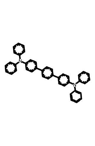 C1=C=CC(N(c2ccccc2)c2ccc(-c3ccc(-c4ccc(N(c5ccccc5)c5ccccc5)cc4)cc3)cc2)=CC=1